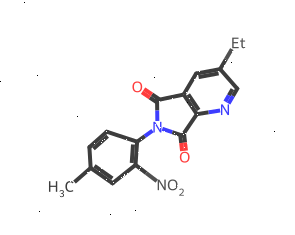 CCc1cnc2c(c1)C(=O)N(c1ccc(C)cc1[N+](=O)[O-])C2=O